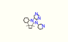 CC12C=CC1(C)C1N(c3ccccc32)c2cncnc2N1c1cccnc1